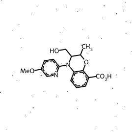 COc1ccc(N2c3cccc(C(=O)O)c3OC(C)C2CO)nc1